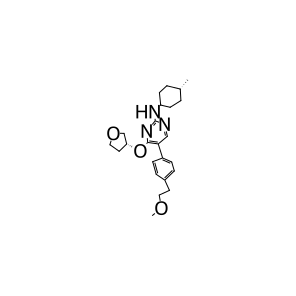 COCCc1ccc(-c2cnc(N[C@H]3CC[C@@H](C)CC3)nc2O[C@@H]2CCOC2)cc1